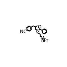 CCCOCCCN(C=C(C)Cc1ccc(C#N)cc1)C(=O)c1ccccc1